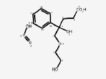 O=C(O)CCC(O)(COCCO)c1ccccc1.O=PO